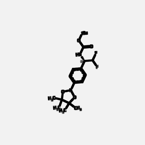 CC(C)(C)OC(=O)N[C@@H](c1ccc(B2OC(C)(C)C(C)(C)O2)cc1)C(F)F